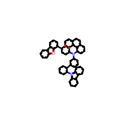 c1cc(-c2ccccc2-n2c3ccccc3c3ccccc32)cc(N(c2ccc(-c3cccc4c3oc3ccccc34)cc2)c2cccc3ccc4ccccc4c23)c1